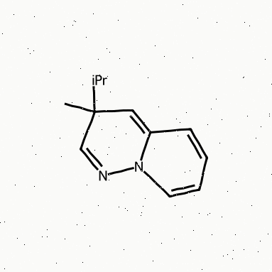 CC(C)C1(C)C=NN2C=CC=CC2=C1